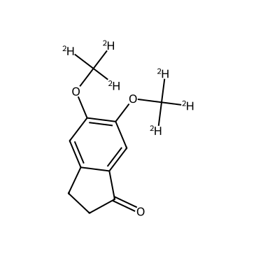 [2H]C([2H])([2H])Oc1cc2c(cc1OC([2H])([2H])[2H])C(=O)CC2